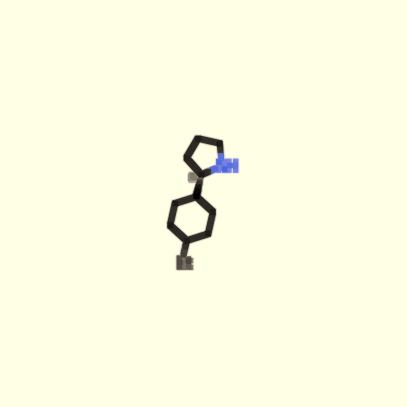 CCC1CCC([C@H]2CCCN2)CC1